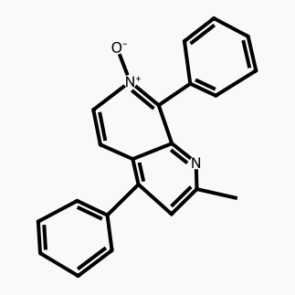 Cc1cc(-c2ccccc2)c2cc[n+]([O-])c(-c3ccccc3)c2n1